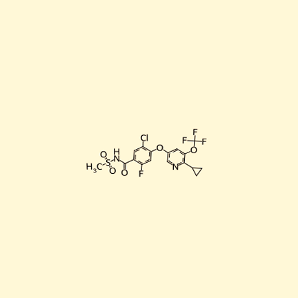 CS(=O)(=O)NC(=O)c1cc(Cl)c(Oc2cnc(C3CC3)c(OC(F)(F)F)c2)cc1F